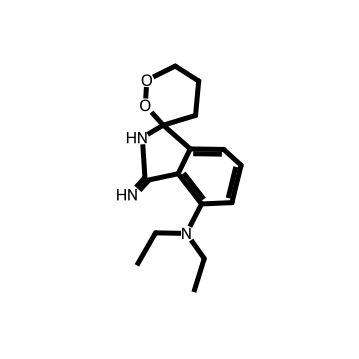 CCN(CC)c1cccc2c1C(=N)NC21CCCOO1